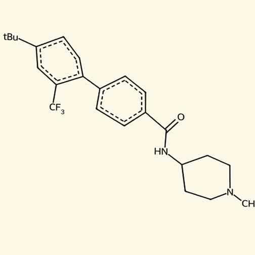 CN1CCC(NC(=O)c2ccc(-c3ccc(C(C)(C)C)cc3C(F)(F)F)cc2)CC1